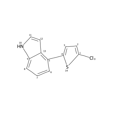 Clc1ccc(-c2cccc3[nH]ccc23)s1